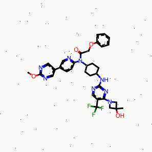 COc1ncc(-c2ccc(N(C(=O)COc3ccccc3)C3CCC(Nc4ncc(C(F)(F)F)c(N5CC(C)(O)C5)n4)CC3)nc2)cn1